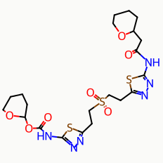 O=C(CC1CCCCO1)Nc1nnc(CCS(=O)(=O)CCc2nnc(NC(=O)OC3CCCCO3)s2)s1